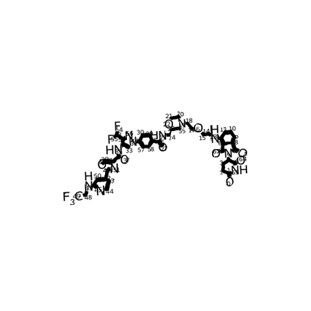 O=C1CCC(N2C(=O)c3cccc(NCCOCCN4CCO[C@H](CNC(=O)c5ccc(-n6cc(NC(=O)c7coc(-c8ccnc(NCC(F)(F)F)c8)n7)c(C(F)F)n6)cc5)C4)c3C2=O)C(=O)N1